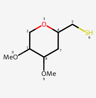 COC1COC(CS)CC1OC